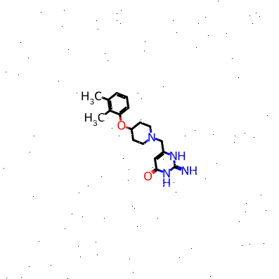 Cc1cccc(OC2CCN(Cc3cc(=O)[nH]c(=N)[nH]3)CC2)c1C